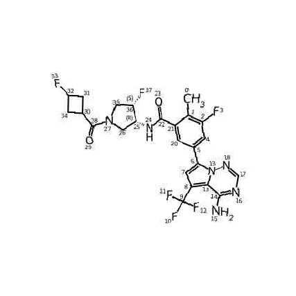 Cc1c(F)cc(-c2cc(C(F)(F)F)c3c(N)ncnn23)cc1C(=O)N[C@@H]1CN(C(=O)C2CC(F)C2)C[C@@H]1F